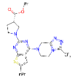 CCCc1cc2c(N3CCn4c(nnc4C(F)(F)F)C3)nc(N3CC[C@H](C(=O)OC(C)C)C3)nc2s1